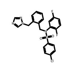 O=S(=O)(c1ccc(Cl)cc1)N(Cc1ccccc1Cn1cncn1)c1cc(F)ccc1F